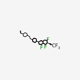 C=CC1CCC(CCc2ccc(-c3cc(F)c4c(F)c(C#CC(F)(F)F)c(F)cc4c3)cc2)CC1